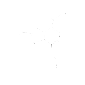 COC(=O)c1ccc(OCC(F)(F)F)c2nc(N)nn12